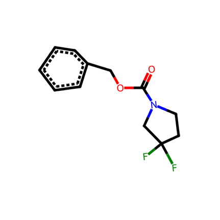 O=C(OCc1ccccc1)N1CCC(F)(F)C1